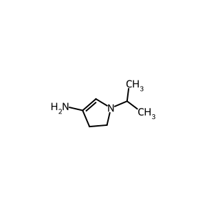 CC(C)N1C=C(N)CC1